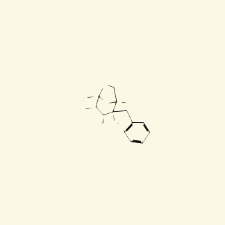 O[C@H]1[C@@H]2OC[C@@H](O2)[C@](O)(Cc2ccccc2)[C@H]1F